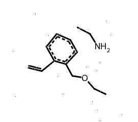 C=Cc1ccccc1COCC.CCN